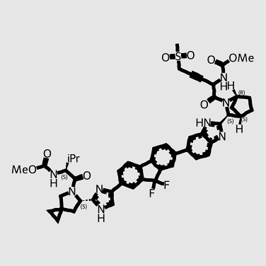 COC(=O)NC(C#CCS(C)(=O)=O)C(=O)N1[C@@H]2CC[C@@H](C2)[C@H]1c1nc2ccc(-c3ccc4c(c3)C(F)(F)c3cc(-c5c[nH]c([C@@H]6CC7(CC7)CN6C(=O)[C@@H](NC(=O)OC)C(C)C)n5)ccc3-4)cc2[nH]1